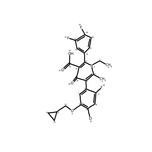 CCn1c(C)c(-c2cc(OCC3CC3)c(Cl)cc2F)c(=O)c(C(=O)O)c1-c1ccc(F)c(F)c1